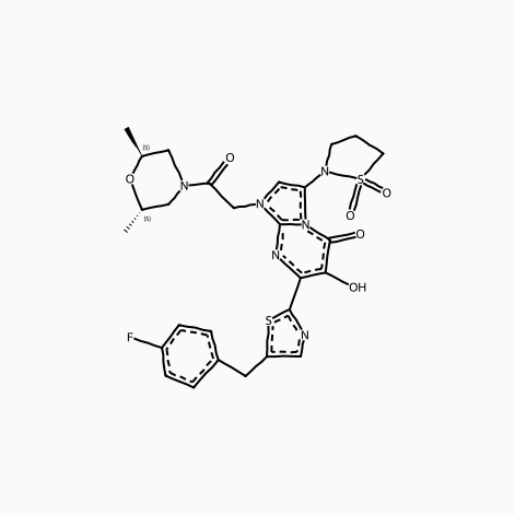 C[C@H]1CN(C(=O)Cn2cc(N3CCCS3(=O)=O)n3c(=O)c(O)c(-c4ncc(Cc5ccc(F)cc5)s4)nc23)C[C@H](C)O1